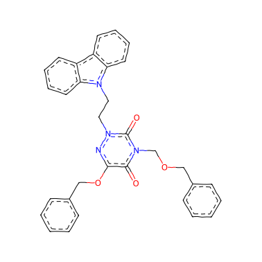 O=c1c(OCc2ccccc2)nn(CCn2c3ccccc3c3ccccc32)c(=O)n1COCc1ccccc1